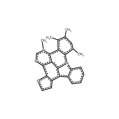 Cc1cc(C)c2c(c1C)c1c3c(nc[n+]1C)c1sccc1c1c4ccccc4n2c13